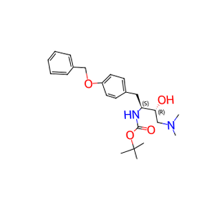 CN(C)C[C@@H](O)[C@H](Cc1ccc(OCc2ccccc2)cc1)NC(=O)OC(C)(C)C